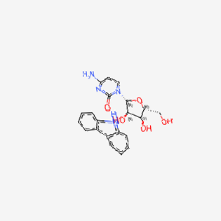 Nc1ccn([C@@H]2O[C@H](CO)[C@@H](O)[C@H]2O)c(=O)n1.c1ccc2c(c1)[nH]c1ccccc12